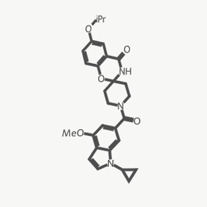 COc1cc(C(=O)N2CCC3(CC2)NC(=O)c2cc(OC(C)C)ccc2O3)cc2c1ccn2C1CC1